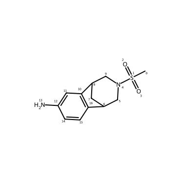 CS(=O)(=O)N1CC2CC(C1)c1cc(N)ccc12